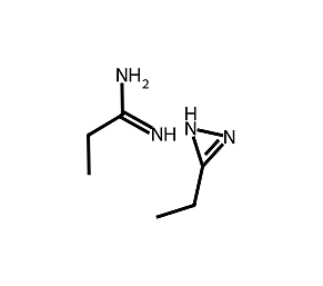 CCC(=N)N.CCC1=NN1